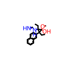 CCC1(NC=N)C(O)(OC)C1(CC)c1ccc2ccccc2c1